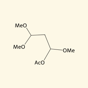 COC(CC(OC)OC(C)=O)OC